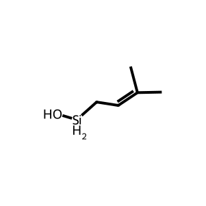 CC(C)=CC[SiH2]O